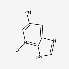 N#Cc1cc2nc[nH]c2[n+]([O-])c1